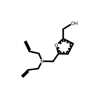 C=CCN(CC=C)Cc1ccc(CO)o1